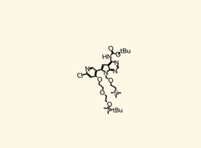 CC(C)(C)OC(=O)Nc1ncnc2c1cc(-c1cnc(Cl)cc1OCCOCCO[Si](C)(C)C(C)(C)C)n2COCC[Si](C)(C)C